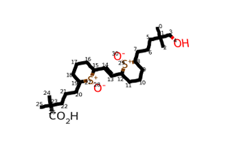 CC(C)(CO)CCCC1CCCC(C=CC2CCCC(CCCC(C)(C)C(=O)O)[S+]2[O-])[S+]1[O-]